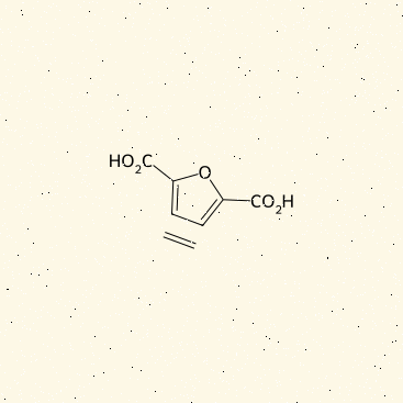 C=C.O=C(O)c1ccc(C(=O)O)o1